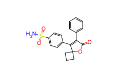 NS(=O)(=O)c1ccc(C2=C(c3ccccc3)C(=O)OC23CCC3)cc1